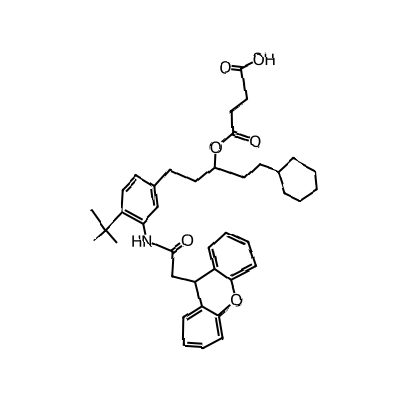 CC(C)(C)c1ccc(CCC(CCC2CCCCC2)OC(=O)CCC(=O)O)cc1NC(=O)CC1c2ccccc2Oc2ccccc21